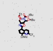 CCOOCc1nc(-c2ccc(OC)c3nc(C(F)(F)F)ccc23)oc1C(COC(C)(C)C)NC(=O)OC(C)(C)C